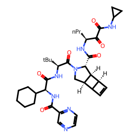 CCC[C@H](NC(=O)[C@@H]1[C@@H]2[C@H](CN1C(=O)[C@@H](NC(=O)[C@@H](NC(=O)c1cnccn1)C1CCCCC1)C(C)(C)C)C1C=C[C@@H]12)C(=O)C(=O)NC1CC1